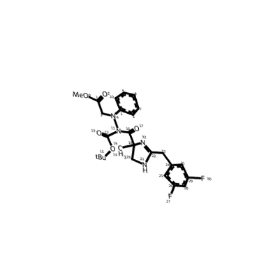 COC(=O)CN(c1ccccc1)N(C(=O)OC(C)(C)C)C(=O)C1(C)CNC(Cc2cc(F)cc(F)c2)=N1